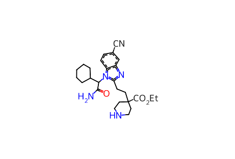 CCOC(=O)C1(CCc2nc3cc(C#N)ccc3n2C(C(N)=O)C2CCCCC2)CCNCC1